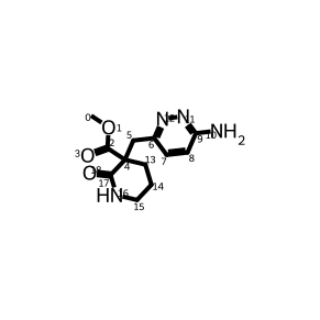 COC(=O)C1(Cc2ccc(N)nn2)CCCNC1=O